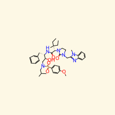 CCC(C)(CC)[C@@H](C(=O)N[C@@H](Cc1ccccc1)[C@@H](O)CN(CC(C)C)S(=O)(=O)c1ccc(OC)cc1)N1CCN(Cc2nc3ccccc3n2C)C1=O